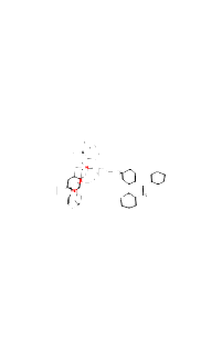 CCC(=C(c1ccccc1)c1ccc(OCCN2CCC(CN3CC4CC(C3)N4c3cc4c(cc3F)CN(C3CCC(=O)NC3=O)C4)CC2)cc1)c1ccccc1